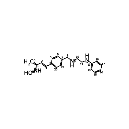 C=C(/C=C/c1ccc(CNCCNc2ccccc2)cc1)NO